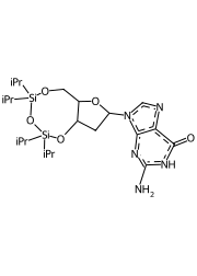 CC(C)[Si]1(C(C)C)OCC2OC(n3cnc4c(=O)[nH]c(N)nc43)CC2O[Si](C(C)C)(C(C)C)O1